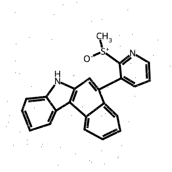 C[S+]([O-])c1ncccc1-c1cc2[nH]c3ccccc3c2c2ccccc12